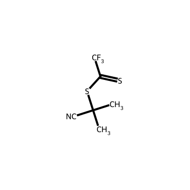 CC(C)(C#N)SC(=S)C(F)(F)F